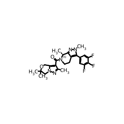 Cc1nn2c(c1C(=O)N1CCc3c(nn(C)c3-c3cc(F)c(F)c(F)c3)[C@@H]1C)COC(C)(C)C2